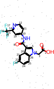 O=C(O)Cn1cc(C(=O)Nc2ccnc(C(F)(F)F)c2)c2cc(F)ccc21